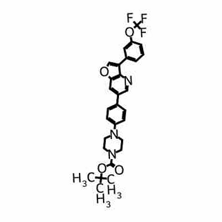 CC(C)(C)OC(=O)N1CCN(c2ccc(-c3cnc4c(-c5cccc(OC(F)(F)F)c5)coc4c3)cc2)CC1